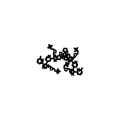 Cc1cccc(-c2ncn(COCC[Si](C)(C)C)c2-c2ccnc(-c3nc4c(n3COCC[Si](C)(C)C)CN([N+]3(C(=O)[N+]5(N6Cc7nc(-c8cc(-c9c(-c%10cccc(C)n%10)ncn9COCC[Si](C)(C)C)ccn8)n(COCC[Si](C)(C)C)c7C6)CCCC5)CCCC3)C4)c2)n1